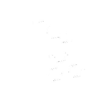 C=C(/C=C\C=C/C)C(=O)O/N=C(\C(=N)c1ccccc1)c1ccccc1